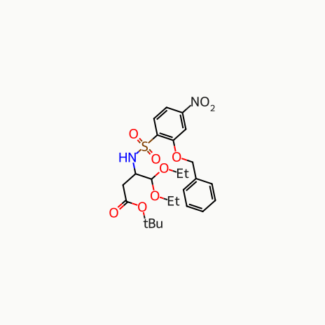 CCOC(OCC)C(CC(=O)OC(C)(C)C)NS(=O)(=O)c1ccc([N+](=O)[O-])cc1OCc1ccccc1